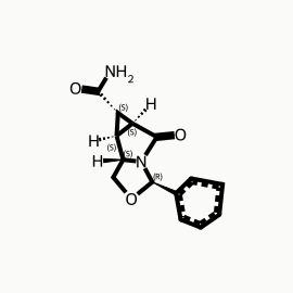 NC(=O)[C@@H]1[C@H]2C(=O)N3[C@@H](c4ccccc4)OC[C@@H]3[C@@H]12